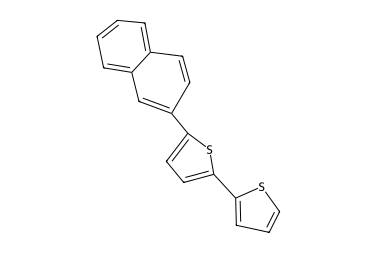 c1csc(-c2ccc(-c3ccc4ccccc4c3)s2)c1